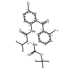 CC(C)[C@@H](NC(=O)OC(C)(C)C)C(=O)Nc1ccc(Cl)cc1C(=O)c1ccccc1F